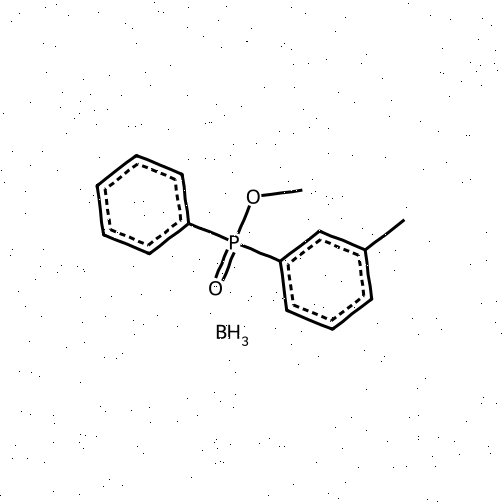 B.COP(=O)(c1ccccc1)c1cccc(C)c1